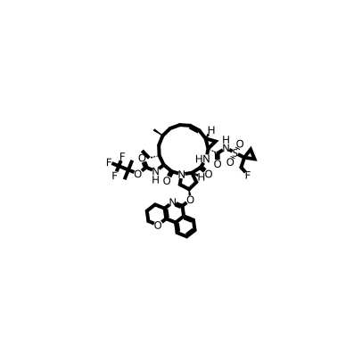 CC[C@@H]1C[C@@H](C)CC/C=C\[C@@H]2C[C@@]2(C(=O)NS(=O)(=O)C2(CF)CC2)NC(=O)[C@@H]2C[C@@H](Oc3nc4c(c5ccccc35)OCCC4)CN2C(=O)C1NC(=O)OC(C)(C)C(F)(F)F